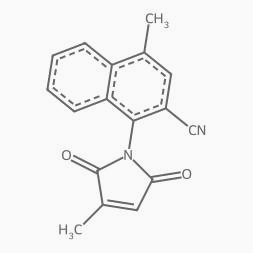 CC1=CC(=O)N(c2c(C#N)cc(C)c3ccccc23)C1=O